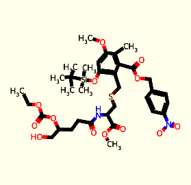 CCOC(=O)OC(CO)CCC(=O)NC(CSCc1c(O[Si](C)(C)C(C)(C)C)cc(OC)c(C)c1C(=O)OCc1ccc([N+](=O)[O-])cc1)C(=O)OC